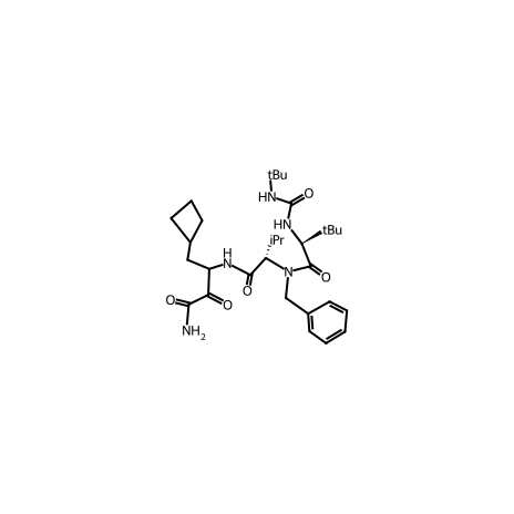 CC(C)[C@@H](C(=O)NC(CC1CCC1)C(=O)C(N)=O)N(Cc1ccccc1)C(=O)[C@@H](NC(=O)NC(C)(C)C)C(C)(C)C